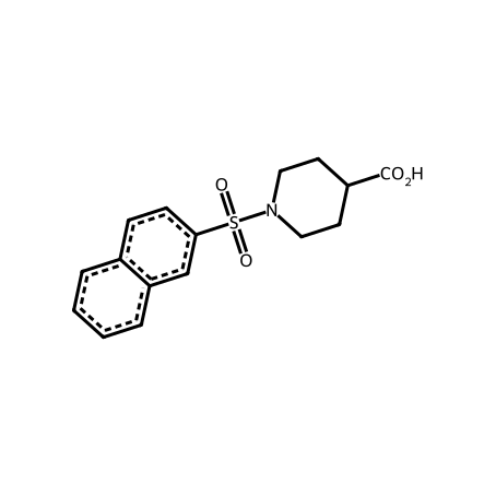 O=C(O)C1CCN(S(=O)(=O)c2ccc3ccccc3c2)CC1